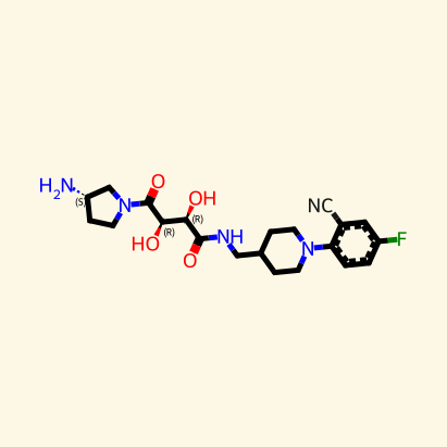 N#Cc1cc(F)ccc1N1CCC(CNC(=O)[C@H](O)[C@@H](O)C(=O)N2CC[C@H](N)C2)CC1